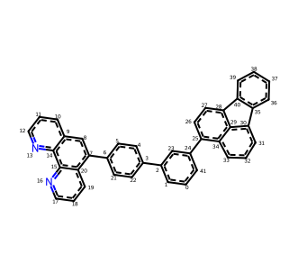 c1cc(-c2ccc(-c3cc4cccnc4c4ncccc34)cc2)cc(-c2ccc3c4c(cccc24)-c2ccccc2-3)c1